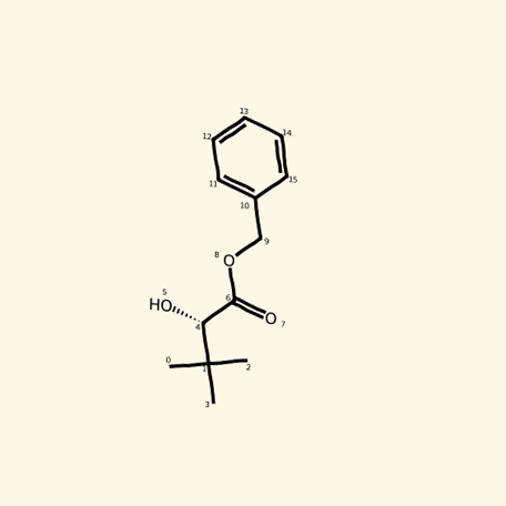 CC(C)(C)[C@H](O)C(=O)OCc1ccccc1